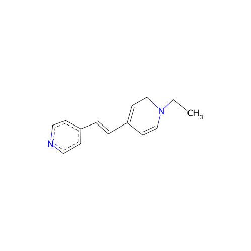 CCN1C=CC(C=Cc2ccncc2)=CC1